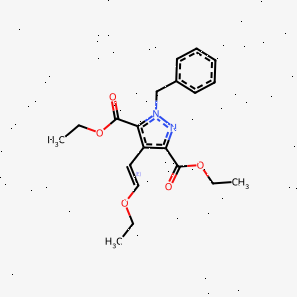 CCO/C=C/c1c(C(=O)OCC)nn(Cc2ccccc2)c1C(=O)OCC